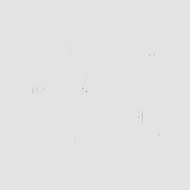 CCN(CC1CCCC1)c1c(F)cc(F)cc1C=O